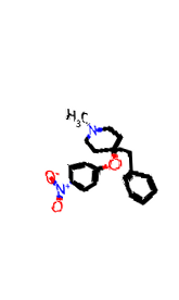 CN1CCC(Cc2ccccc2)(Oc2ccc([N+](=O)[O-])cc2)CC1